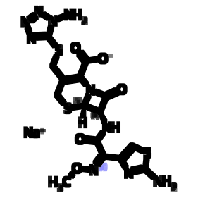 CO/N=C(\C(=O)N[C@@H]1C(=O)N2C(C(=O)[O-])=C(CSc3nnnn3N)CS[C@@H]12)c1csc(N)n1.[Na+]